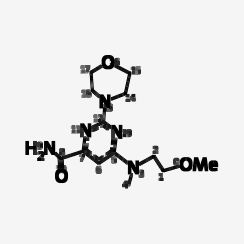 COCCN(C)c1cc(C(N)=O)nc(N2CCOCC2)n1